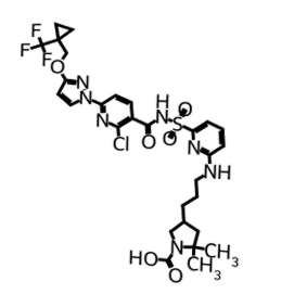 CC1(C)CC(CCCNc2cccc(S(=O)(=O)NC(=O)c3ccc(-n4ccc(OCC5(C(F)(F)F)CC5)n4)nc3Cl)n2)CN1C(=O)O